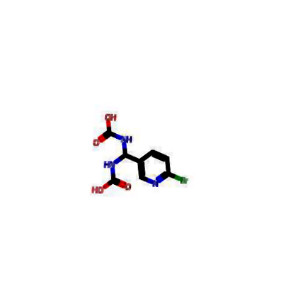 O=C(O)NC(NC(=O)O)c1ccc(Br)nc1